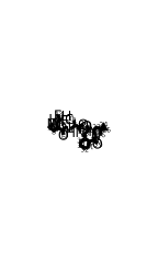 CCC(CNC(=O)c1ccnn1C(F)F)C(=O)N[C@@H]1C(=O)N2CC3(CC3)CN2C(=O)c2ccccc21